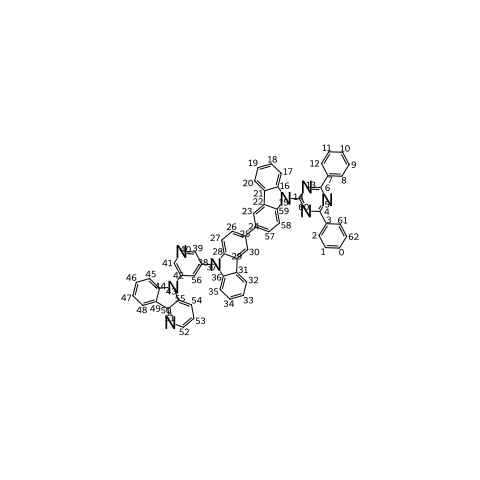 c1ccc(-c2nc(-c3ccccc3)nc(-n3c4ccccc4c4cc(-c5ccc6c(c5)c5ccccc5n6-c5cncc(-n6c7ccccc7c7ncccc76)c5)ccc43)n2)cc1